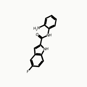 Nc1ccccc1NC(=O)c1cc2cc(F)ccc2[nH]1